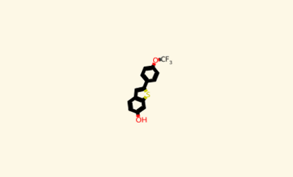 Oc1ccc2cc(-c3ccc(OC(F)(F)F)cc3)sc2c1